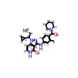 Cc1cc(Nc2nn(C(CC#N)C3CC3)c3cc[nH]c(=O)c23)ccc1C(=O)N1CC[CH]CC1